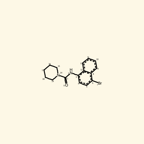 O=C(Nc1ccc(Br)c2ccccc12)N1CCCCC1